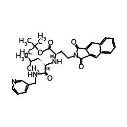 CC(C)C[C@H](N[C@H](CCN1C(=O)c2cc3ccccc3cc2C1=O)C(=O)OC(C)(C)C)C(=O)NCc1cccnc1